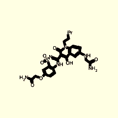 CC(C)CCn1c(=O)c(C2=NS(=O)(=O)c3cc(OCC(N)=O)ccc3N2)c(O)c2cc(NCC(N)=O)ccc21